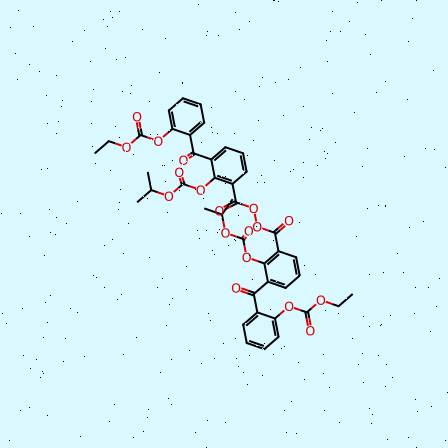 CCOC(=O)Oc1ccccc1C(=O)c1cccc(C(=O)OOC(=O)c2cccc(C(=O)c3ccccc3OC(=O)OCC)c2OC(=O)OC(C)C)c1OC(=O)OC(C)C